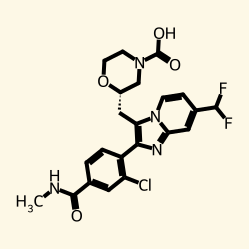 CNC(=O)c1ccc(-c2nc3cc(C(F)F)ccn3c2C[C@H]2CN(C(=O)O)CCO2)c(Cl)c1